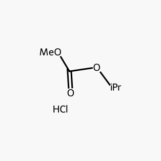 COC(=O)OC(C)C.Cl